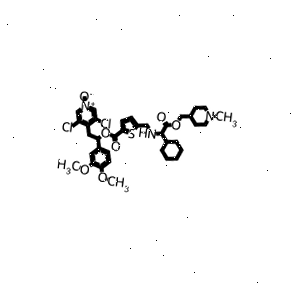 COc1ccc(C(Cc2c(Cl)c[n+]([O-])cc2Cl)OC(=O)c2ccc(CNC(C(=O)OCC3CCN(C)CC3)C3CCCCC3)s2)cc1OC